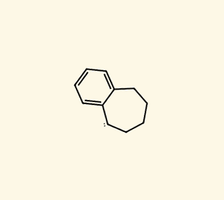 [C]1CCCCc2ccccc21